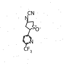 N#CN=C1CC(c2ccc(C(F)(F)F)nc2)[S+]([O-])C1